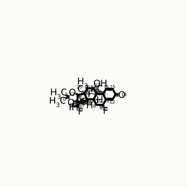 CC1(C)O[C@@H]2C[C@H]3[C@@H]4C[C@H](F)C5=CC(=O)C=C[C@]5(C)[C@]4(F)[C@@H](O)C[C@]3(C)[C@]2(C(=O)C(F)F)O1